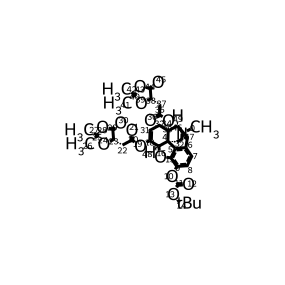 CN1CC[C@]23c4c5ccc(OC(=O)OC(C)(C)C)c4O[C@H]2C(OC(=O)C[C@@H]2OC(C)(C)OC2=O)=CC[C@@]3(OC(=O)C[C@@H]2OC(C)(C)OC2=O)[C@H]1C5